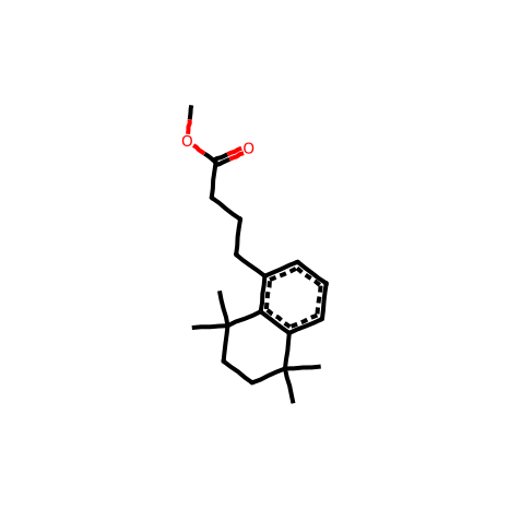 COC(=O)CCCc1cccc2c1C(C)(C)CCC2(C)C